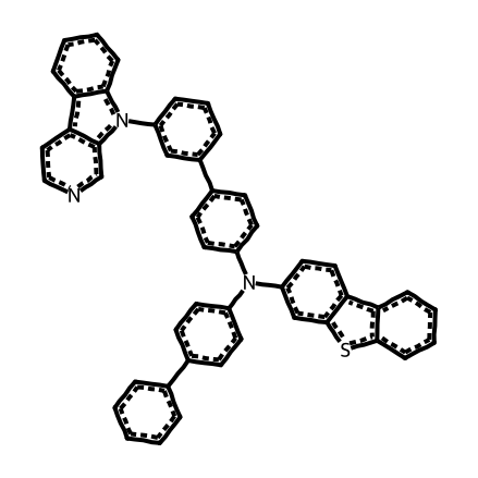 c1ccc(-c2ccc(N(c3ccc(-c4cccc(-n5c6ccccc6c6ccncc65)c4)cc3)c3ccc4c(c3)sc3ccccc34)cc2)cc1